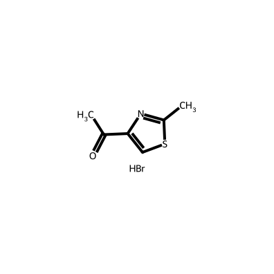 Br.CC(=O)c1csc(C)n1